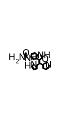 NC(=O)Nc1ccc2c(c1)C(=C(c1cccnc1)c1ccc[nH]1)C(=O)N2